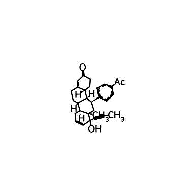 CC#CC1(O)C=CC[C@H]2[C@@H]3CCC4=CC(=O)CC[C@@H]4[C@H]3[C@@H](c3ccc(C(C)=O)cc3)C[C@@]21C